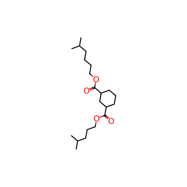 CC(C)CCCCOC(=O)C1CCCC(C(=O)OCCCC(C)C)C1